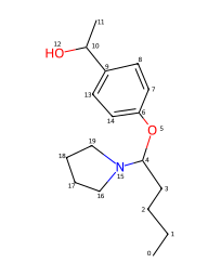 CCCCC(Oc1ccc(C(C)O)cc1)N1CCCC1